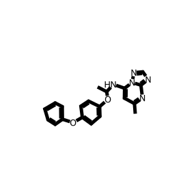 Cc1cc(NC(C)Oc2ccc(Oc3ccccc3)cc2)n2ncnc2n1